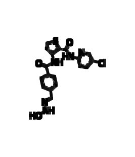 O=C(Nc1ccsc1C(=O)Nc1ccc(Cl)cn1)c1ccc(C=NNO)cc1